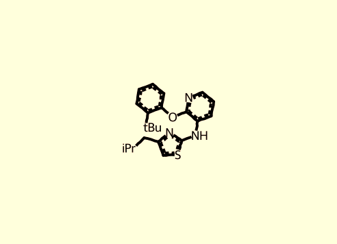 CC(C)Cc1csc(Nc2cccnc2Oc2ccccc2C(C)(C)C)n1